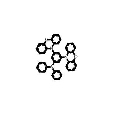 c1ccc(N(c2ccccc2)c2cc(N3c4ccccc4Oc4ccccc43)cc(N3c4ccccc4Oc4ccccc43)c2)cc1